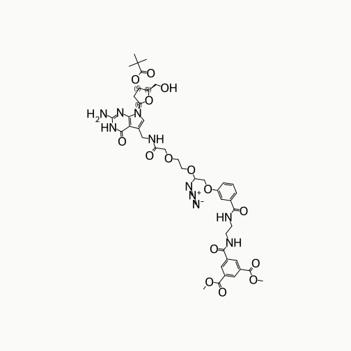 COC(=O)c1cc(C(=O)NCCNC(=O)c2cccc(OCC(N=[N+]=[N-])OCCOCC(=O)NCc3cn([C@H]4C[C@H](OC(=O)C(C)(C)C)[C@@H](CO)O4)c4nc(N)[nH]c(=O)c34)c2)cc(C(=O)OC)c1